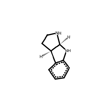 c1ccc2c(c1)N[C@@H]1NCC[C@H]21